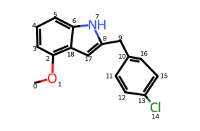 COc1cccc2[nH]c(Cc3ccc(Cl)cc3)cc12